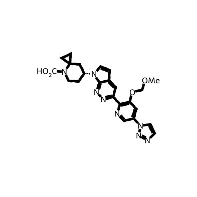 COCOc1cc(-n2ccnn2)cnc1-c1cc2ccn([C@@H]3CCN(C(=O)O)C4(CC4)C3)c2nn1